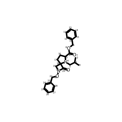 CC(C)CN1C(C(=O)OCc2ccccc2)CCC12CN(OCc1ccccc1)C2=O